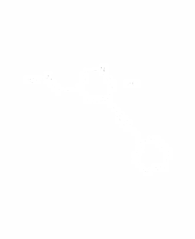 Cl.ON=Cc1cncc(C#Cc2ccccc2)c1